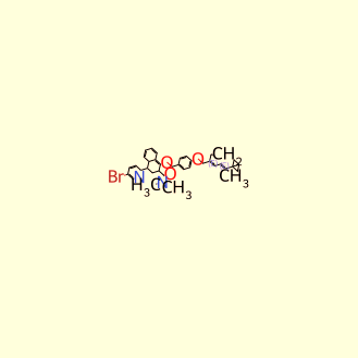 C=C/C(=C\C=C(/C)C12CC1C2)COc1ccc(COC2=C3C=CC=CC3C(c3ccc(Br)cn3)CC2C(=O)N(C)C)cc1